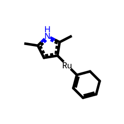 Cc1c[c]([Ru][C]2=CC=CCC2)c(C)[nH]1